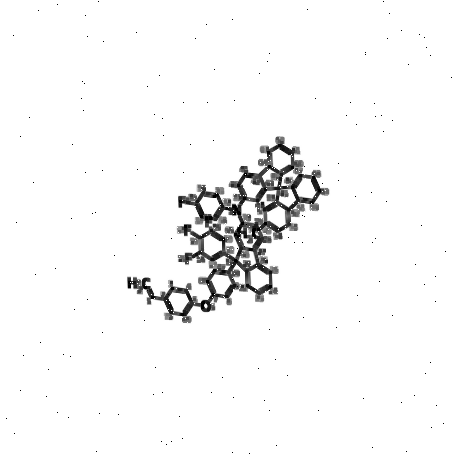 C=Cc1ccc(Oc2ccc(C3(c4cc(F)c(F)c(F)c4)c4ccccc4-c4ccc(N(c5ccc(F)cc5)c5ccc6c(c5)C5(c7ccccc7-c7ccc(C)cc75)c5ccccc5-6)cc43)cc2)cc1